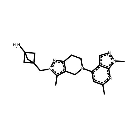 Cc1cc(N2CCc3nn(CC45CC(N)(C4)C5)c(C)c3C2)c2cnn(C)c2n1